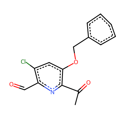 CC(=O)c1nc(C=O)c(Cl)cc1OCc1ccccc1